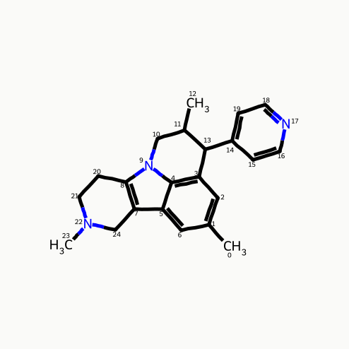 Cc1cc2c3c(c1)c1c(n3CC(C)C2c2ccncc2)CCN(C)C1